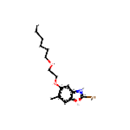 CCCCCCOCCOc1cc2nc(S)oc2cc1C